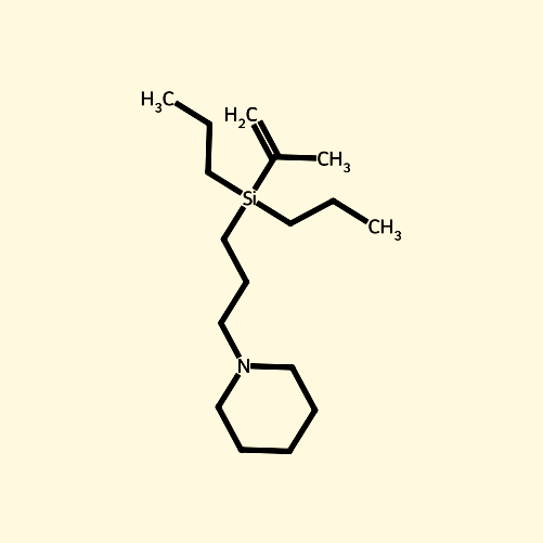 C=C(C)[Si](CCC)(CCC)CCCN1CCCCC1